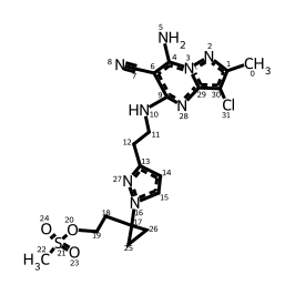 Cc1nn2c(N)c(C#N)c(NCCc3ccn(C4(CCOS(C)(=O)=O)CC4)n3)nc2c1Cl